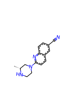 C[C@@H]1CN(c2ccc3cc(C#N)ccc3n2)CCN1